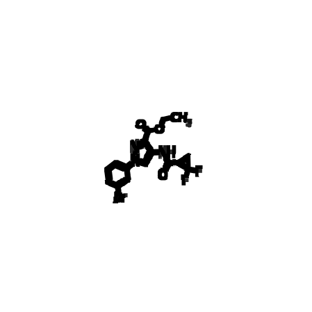 CCOC(=O)c1nn(-c2cccc(Br)c2)cc1NC(=O)C1CC1(F)F